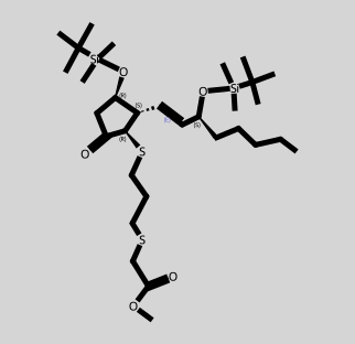 CCCCC[C@@H](/C=C/[C@H]1[C@H](O[Si](C)(C)C(C)(C)C)CC(=O)[C@@H]1SCCCSCC(=O)OC)O[Si](C)(C)C(C)(C)C